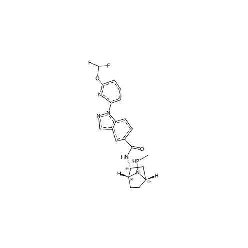 CPN1[C@H]2CC[C@@H]1[C@H](NC(=O)c1ccc3c(cnn3-c3cccc(OC(F)F)n3)c1)C2